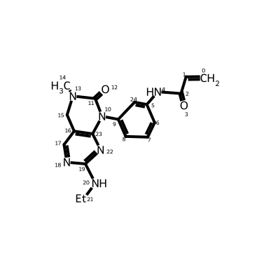 C=CC(=O)Nc1cccc(N2C(=O)N(C)Cc3cnc(NCC)nc32)c1